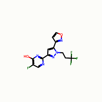 Oc1nc(-c2cc(-c3ccon3)n(CCC(F)(F)F)n2)ncc1F